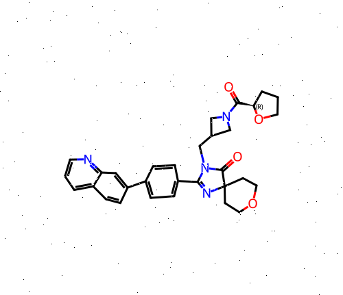 O=C([C@H]1CCCO1)N1CC(CN2C(=O)C3(CCOCC3)N=C2c2ccc(-c3ccc4cccnc4c3)cc2)C1